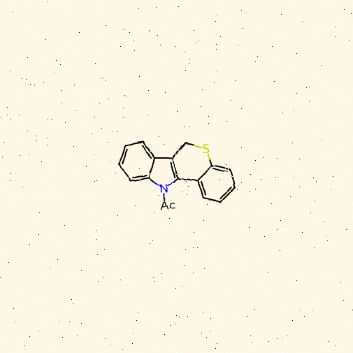 CC(=O)n1c2c(c3ccccc31)CSc1ccccc1-2